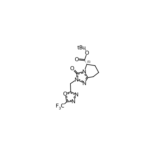 CC(C)(C)OC(=O)[C@@H]1CCCc2nn(Cc3nnc(C(F)(F)F)o3)c(=O)n21